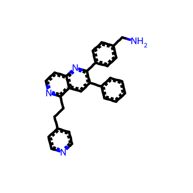 NCc1ccc(-c2nc3ccnc(CCc4ccncc4)c3cc2-c2ccccc2)cc1